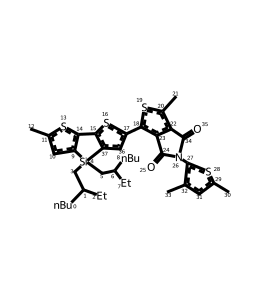 CCCCC(CC)C[Si]1(CC(CC)CCCC)c2cc(C)sc2-c2sc(-c3sc(C)c4c3C(=O)N(c3sc(C)cc3C)C4=O)cc21